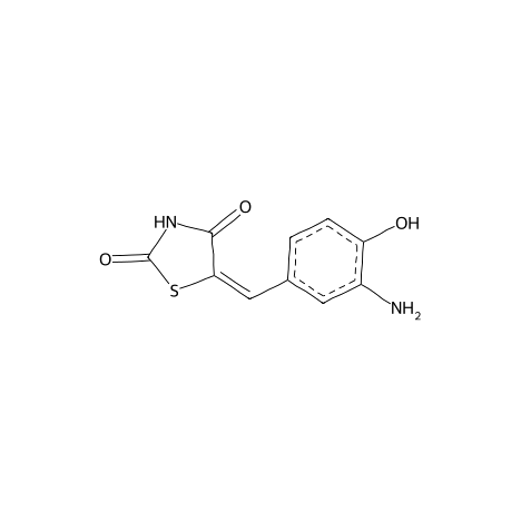 Nc1cc(C=C2SC(=O)NC2=O)ccc1O